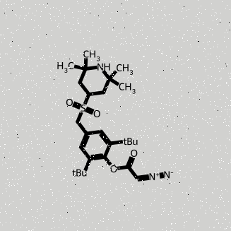 CC1(C)CC(S(=O)(=O)Cc2cc(C(C)(C)C)c(OC(=O)C=[N+]=[N-])c(C(C)(C)C)c2)CC(C)(C)N1